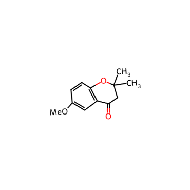 COc1ccc2c(c1)C(=O)CC(C)(C)O2